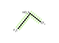 O=S(=O)(O)C(F)(C(F)(F)C(F)(F)C(F)(F)C(F)(F)C(F)(F)C(F)(F)C(F)(F)F)C(F)(F)C(F)(F)C(F)(F)C(F)(F)C(F)(F)C(F)(F)C(F)(F)C(F)(F)C(F)(F)C(F)(F)F